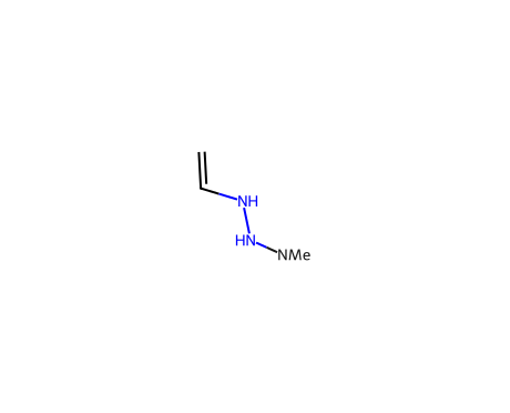 C=CNNNC